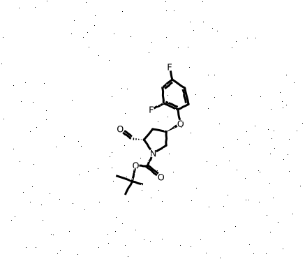 CC(C)(C)OC(=O)N1C[C@H](Oc2ccc(F)cc2F)C[C@H]1C=O